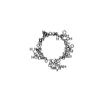 CCCC[C@H]1C(=O)N(C)[C@@H](CCCC)C(=O)N[C@@H](CCCNC(=N)N)C(=O)NC(C(=O)NCC(N)=O)CSCC(=O)N[C@@H](Cc2ccc(O)cc2)C(=O)N(C)[C@@H](C)C(=O)N[C@@H](CC(N)=O)C(=O)N2CCC[C@H]2C(=O)N[C@@H](Cc2cnc[nH]2)C(=O)N[C@@H](CC(C)C)C(=O)N2CCC[C@H]2C(=O)N[C@@H](Cc2c[nH]c3ccccc23)C(=O)N[C@@H](CCO)C(=O)N[C@@H](Cc2csc3ccccc23)C(=O)N1C